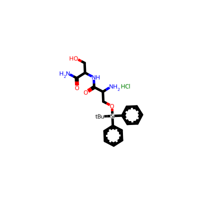 CC(C)(C)[Si](OCC(N)C(=O)NC(CO)C(N)=O)(c1ccccc1)c1ccccc1.Cl